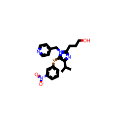 CC(C)c1nc(CCCO)n(Cc2ccncc2)c1Sc1cccc([N+](=O)[O-])c1